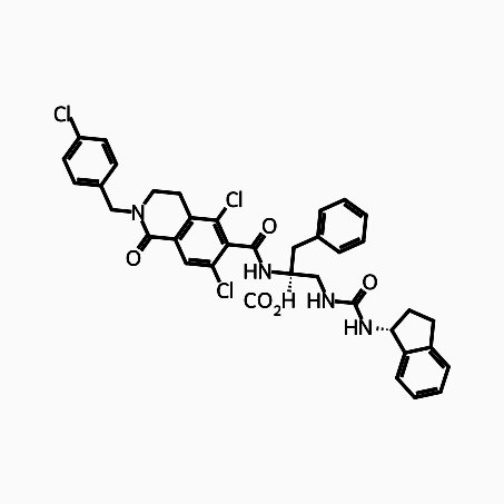 O=C(NC[C@](Cc1ccccc1)(NC(=O)c1c(Cl)cc2c(c1Cl)CCN(Cc1ccc(Cl)cc1)C2=O)C(=O)O)N[C@@H]1CCc2ccccc21